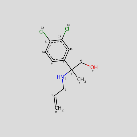 C=CCNC(C)(CO)c1ccc(Cl)c(Cl)c1